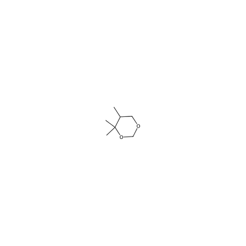 CC1COCOC1(C)C